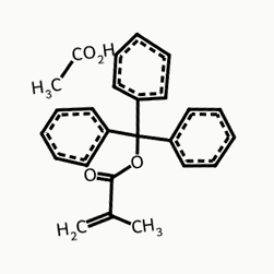 C=C(C)C(=O)OC(c1ccccc1)(c1ccccc1)c1ccccc1.CC(=O)O